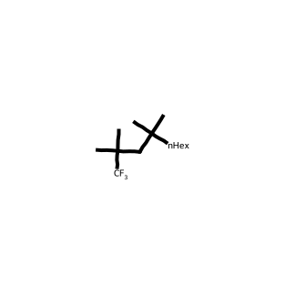 CCCCCCC(C)(C)CC(C)(C)C(F)(F)F